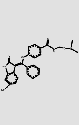 CN(C)CCNC(=O)c1ccc(N/C(=C2\C(=O)Nc3cc(C#N)ccc32)c2ccccc2)cc1